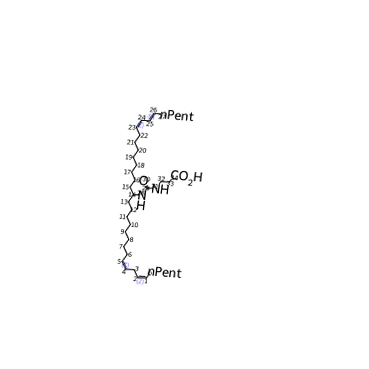 CCCCC/C=C\C/C=C\CCCCCCCCC(CCCCCCCC/C=C\C=C\CCCCC)NC(=O)NCCC(=O)O